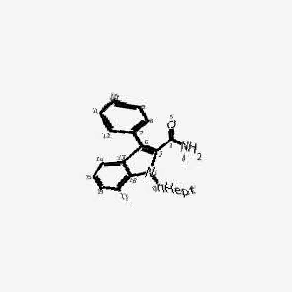 CCCCCCCn1c(C(N)=O)c(-c2ccccc2)c2ccccc21